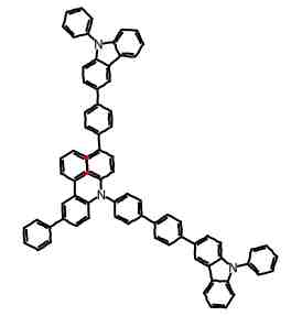 c1ccc(-c2ccc(N(c3ccc(-c4ccc(-c5ccc6c(c5)c5ccccc5n6-c5ccccc5)cc4)cc3)c3ccc(-c4ccc(-c5ccc6c(c5)c5ccccc5n6-c5ccccc5)cc4)cc3)c(-c3ccccc3)c2)cc1